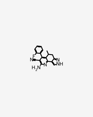 CC1Cc2n[nH]cc2-c2nc(N)c(C#N)c(-c3ccccc3F)c21